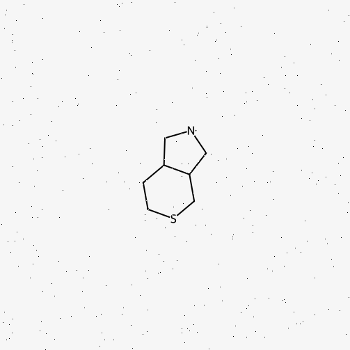 C1CC2C[N]CC2CS1